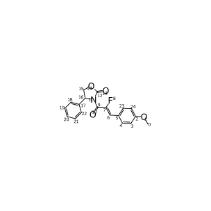 COc1ccc(/C=C(\F)C(=O)N2C(=O)OCC2c2ccccc2)cc1